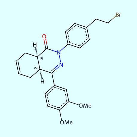 COc1ccc(C2=NN(c3ccc(CCBr)cc3)C(=O)[C@@H]3CC=CC[C@H]23)cc1OC